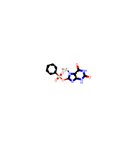 Cn1c(OS(=O)(=O)c2ccccc2)nc2[nH]c(=O)[nH]c(=O)c21